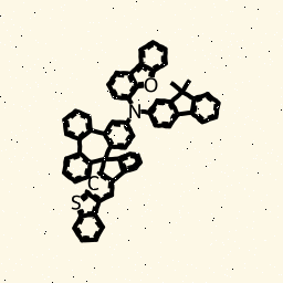 CC1(C)c2ccccc2-c2ccc(N(c3ccc4c(c3)-c3ccccc3-c3ccccc3C43c4ccccc4-c4cc5c(cc43)sc3ccccc35)c3cccc4c3oc3ccccc34)cc21